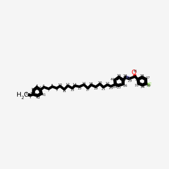 C=Cc1ccc(CCCCCCCCCCCCCCCCCCc2ccc(/C=C/C(=O)c3ccc(F)cc3)cc2)cc1